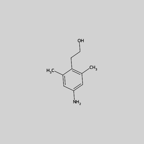 Cc1cc(N)cc(C)c1CCO